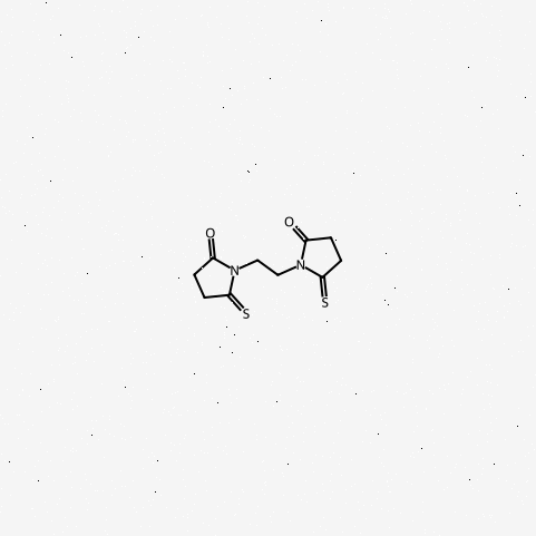 O=C1CCC(=S)N1CCN1C(=O)CCC1=S